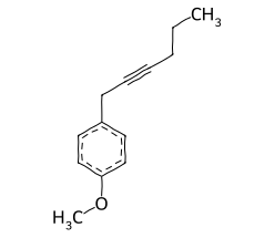 CCCC#CCc1ccc(OC)cc1